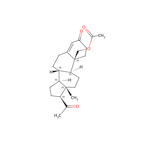 CC(=O)OC[C@]12CCC(=O)C=C1CC[C@@H]1[C@@H]2CC[C@]2(C)[C@@H](C(C)=O)CC[C@@H]12